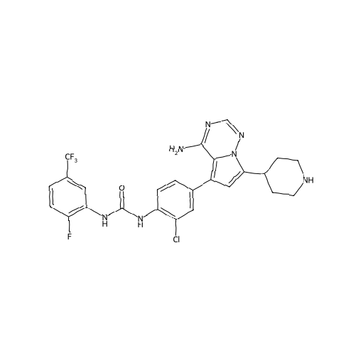 Nc1ncnn2c(C3CCNCC3)cc(-c3ccc(NC(=O)Nc4cc(C(F)(F)F)ccc4F)c(Cl)c3)c12